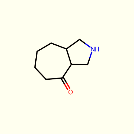 O=C1CCCCC2CNCC12